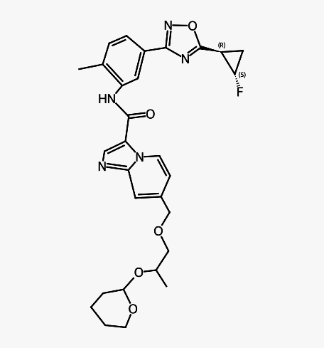 Cc1ccc(-c2noc([C@H]3C[C@@H]3F)n2)cc1NC(=O)c1cnc2cc(COCC(C)OC3CCCCO3)ccn12